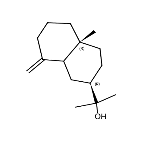 C=C1CCC[C@]2(C)CC[C@@H](C(C)(C)O)CC12